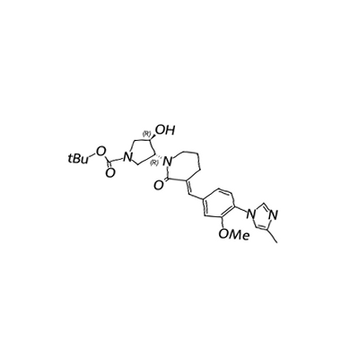 COc1cc(C=C2CCCN([C@@H]3CN(C(=O)OC(C)(C)C)C[C@H]3O)C2=O)ccc1-n1cnc(C)c1